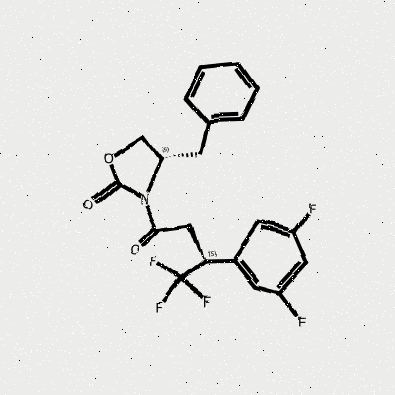 O=C(C[C@@H](c1cc(F)cc(F)c1)C(F)(F)F)N1C(=O)OC[C@@H]1Cc1ccccc1